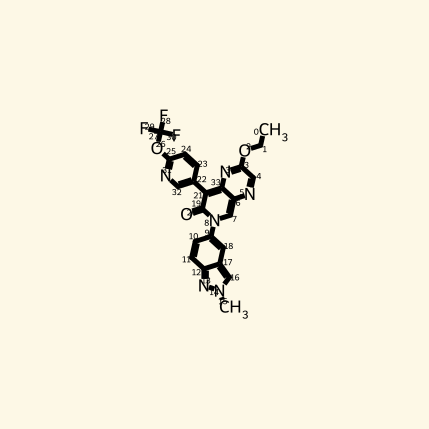 CCOc1cnc2cn(-c3ccc4nn(C)cc4c3)c(=O)c(-c3ccc(OC(F)(F)F)nc3)c2n1